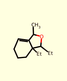 CCC1OC(C)C2=CCCCC21CC